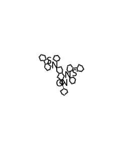 c1ccc(-c2nc3c(N(c4ccccc4)c4cccc5c4sc4ccccc45)c4ccc(N(c5ccccc5)c5cccc6c5sc5ccccc56)cc4cc3o2)cc1